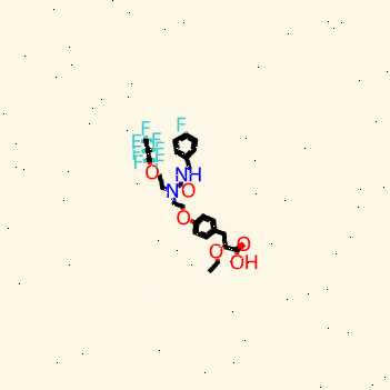 CCOC(Cc1ccc(OCCN(CCOC(F)(F)C(F)(F)C(F)(F)F)C(=O)NCc2ccc(F)cc2)cc1)C(=O)O